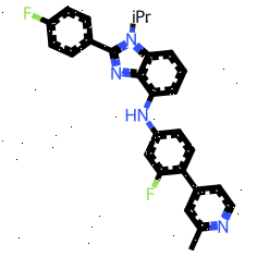 Cc1cc(-c2ccc(Nc3cccc4c3nc(-c3ccc(F)cc3)n4C(C)C)cc2F)ccn1